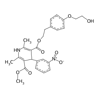 COC(=O)C1=C(C)NC(C)=C(C(=O)OCCc2ccc(OCCO)cc2)C1c1cccc([N+](=O)[O-])c1